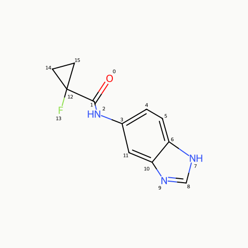 O=C(Nc1ccc2[nH]cnc2c1)C1(F)CC1